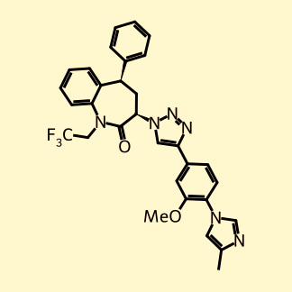 COc1cc(-c2cn([C@@H]3C[C@H](c4ccccc4)c4ccccc4N(CC(F)(F)F)C3=O)nn2)ccc1-n1cnc(C)c1